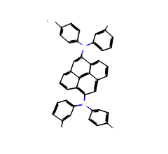 CC(C)c1ccc(N(c2cccc(C(F)(F)F)c2)c2cc3cccc4c(N(c5ccc(C(C)C)cc5)c5cccc(C(F)(F)F)c5)cc5cccc2c5c34)cc1